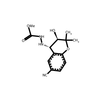 COC(=O)NN[C@H]1c2cc(C#N)ccc2OC(C)(C)[C@@H]1O